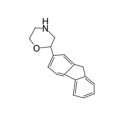 c1ccc2c(c1)Cc1cc(C3CNCCO3)ccc1-2